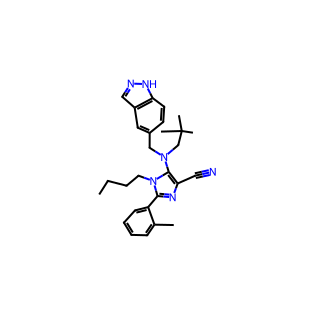 CCCCn1c(-c2ccccc2C)nc(C#N)c1N(Cc1ccc2[nH]ncc2c1)CC(C)(C)C